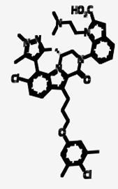 Cc1cc(OCCCc2c3n(c4c(-c5c(C)nn(C)c5C)c(Cl)ccc24)[C@H](C)CN(c2cccc4cc(C(=O)O)n(CCN(C)C)c24)C3=O)cc(C)c1Cl